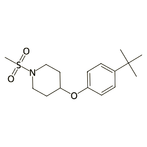 CC(C)(C)c1ccc(OC2CCN(S(C)(=O)=O)CC2)cc1